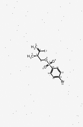 C=C(I)[C@H](C)COS(=O)(=O)c1ccc(Br)cc1